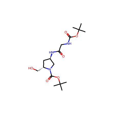 CC(C)(C)OC(=O)NCC(=O)N[C@@H]1C[C@@H](CO)N(C(=O)OC(C)(C)C)C1